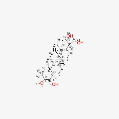 CO[C@H]1[C@@H](O)[C@]2(C)CC[C@]3(C)C(=CC[C@@H]4[C@@]5(C)CC[C@H](O)[C@@](C)(CO)C5CC[C@]43C)[C@H]2CC1(C)C